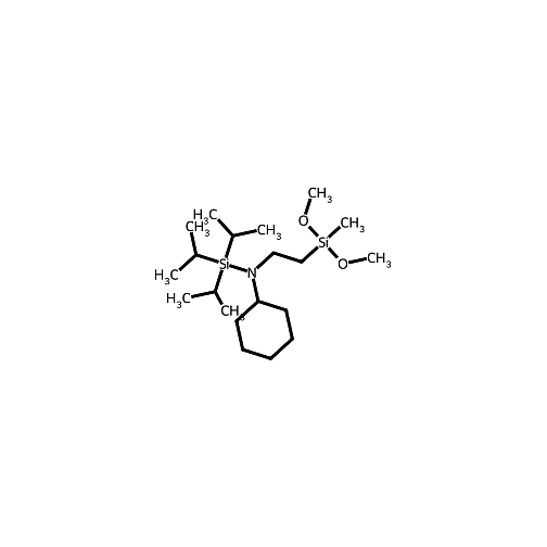 CO[Si](C)(CCN(C1CCCCC1)[Si](C(C)C)(C(C)C)C(C)C)OC